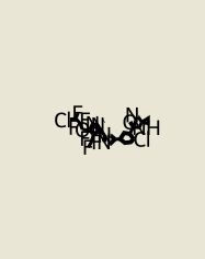 Cn1nc(OC(F)(F)C(F)Cl)c(C(F)(F)F)c1-n1cc(-c2ccc(Cl)c(C(=O)NC3(C#N)CC3)c2)cn1